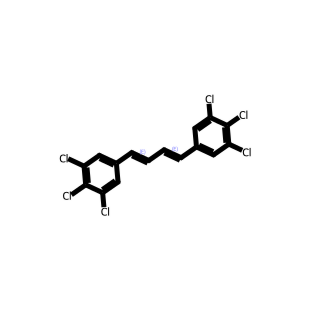 Clc1cc(/C=C/C=C/c2cc(Cl)c(Cl)c(Cl)c2)cc(Cl)c1Cl